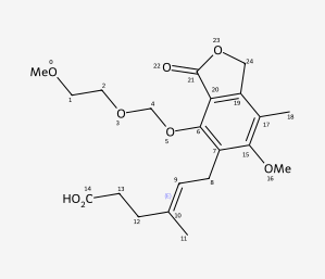 COCCOCOc1c(C/C=C(\C)CCC(=O)O)c(OC)c(C)c2c1C(=O)OC2